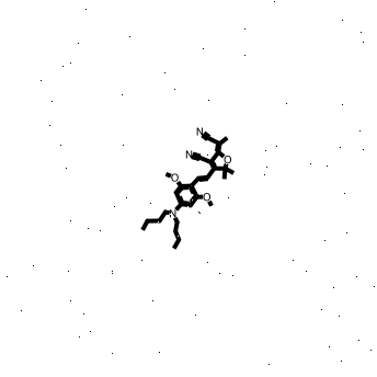 CCCCN(CCCC)c1cc(OC)c(/C=C/C2=C(C#N)C(=C(/C)C#N)/OC2(C)C)c(OC)c1